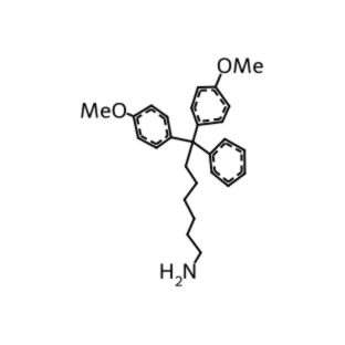 COc1ccc(C(CCCCCCN)(c2ccccc2)c2ccc(OC)cc2)cc1